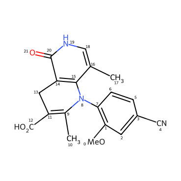 COc1cc(C#N)ccc1N1C(C)=C(C(=O)O)Cc2c1c(C)c[nH]c2=O